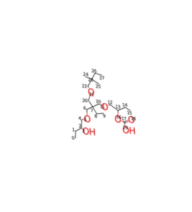 CCC(O)COCC(CC)(COCC(CC)OC(=O)O)COCC(C)(C)CC